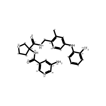 Cc1cc(Nc2ccccc2C(F)(F)F)cnc1CNC(=O)C1(NC(=O)c2cncc(N)c2)CCOC1